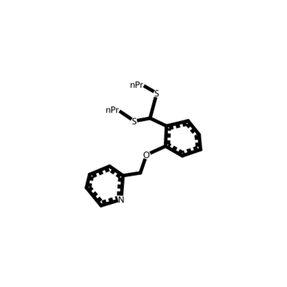 CCCSC(SCCC)c1ccccc1OCc1ccccn1